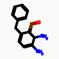 NC1=CC=C(Cc2ccccc2)C(=S=O)C1N